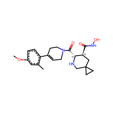 COc1ccc(C2=CCN(C(=O)[C@H]3NCC4(CC4)C[C@@H]3C(=O)NO)CC2)c(C)c1